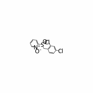 [O-][n+]1ccccc1[S+]([O-])Cc1ccc(Cl)cc1Cl